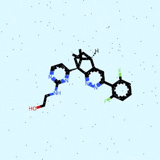 CC1(C)[C@H]2CC[C@@]1(c1ccnc(NCCO)n1)c1nnc(-c3c(F)cccc3F)cc12